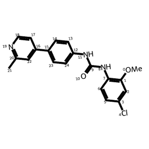 COc1cc(Cl)ccc1NC(=O)Nc1ccc(-c2ccnc(C)c2)cc1